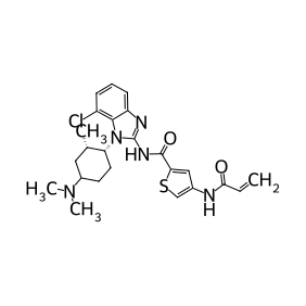 C=CC(=O)Nc1csc(C(=O)Nc2nc3cccc(Cl)c3n2[C@@H]2CCC(N(C)C)C[C@@H]2C)c1